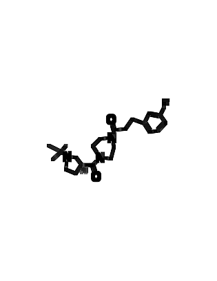 CC(C)(C)N1CC[C@H](C(=O)N2CCN(C(=O)CCc3cccc(F)c3)CC2)C1